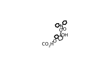 O=C(O)COc1cccc2c1CCCC2(O)CCOC(=O)N(c1ccccc1)c1ccccc1